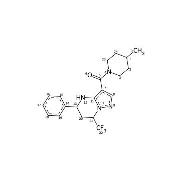 CC1CCN(C(=O)c2cnn3c2NC(c2ccccc2)CC3C(F)(F)F)CC1